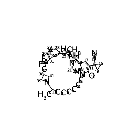 CC1CCCCCCn2c(=O)c(C3(C#N)CC3)cc3c(ncnc32)N[C@H](C)c2cccc(c2F)C(F)(F)CC2CN1C2